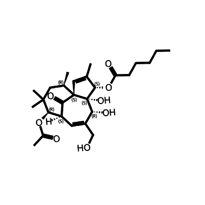 CCCCCC(=O)O[C@H]1C(C)=C[C@]23C(=O)[C@@H](C=C(CO)[C@@H](O)[C@]12O)[C@@H](OC(C)=O)C(C)(C)C[C@H]3C